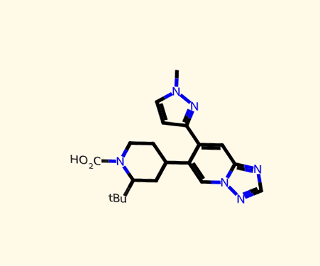 Cn1ccc(-c2cc3ncnn3cc2C2CCN(C(=O)O)C(C(C)(C)C)C2)n1